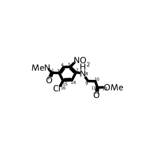 CNC(=O)c1cc([N+](=O)[O-])c(NCCC(=O)OC)cc1Cl